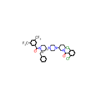 O=C(c1c(Cl)cccc1Cl)N1CCCC(N2CCN([C@H]3CCN(C(=O)c4cc(C(F)(F)F)cc(C(F)(F)F)c4)[C@H](Cc4ccccc4)C3)CC2)C1